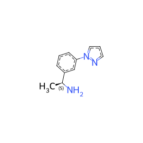 C[C@H](N)c1cccc(-n2cccn2)c1